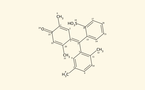 CC1=C/C(=C(/c2cc(C)ccc2C)c2ccccc2S(=O)(=O)O)C(C)=CC1=O